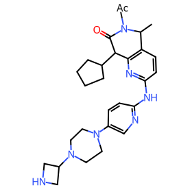 CC(=O)N1C(=O)C(C2CCCC2)c2nc(Nc3ccc(N4CCN(C5CNC5)CC4)cn3)ccc2C1C